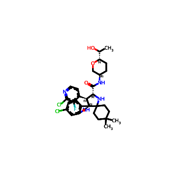 CC(O)[C@@H]1CC[C@@H](NC(=O)[C@@H]2NC3(CCC(C)(C)CC3)[C@@]3(CNc4cc(Cl)ccc43)[C@H]2c2ccnc(Cl)c2F)CO1